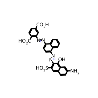 Nc1ccc2cc(S(=O)(=O)O)c(/N=N/c3ccc(/N=N/c4cc(C(=O)O)ccc4C(=O)O)c4ccccc34)c(O)c2c1